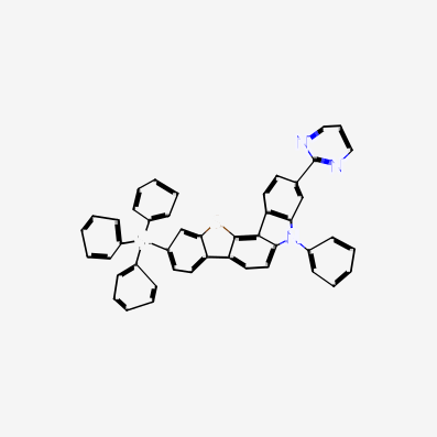 c1ccc(-n2c3cc(-c4ncccn4)ccc3c3c4sc5cc([Si](c6ccccc6)(c6ccccc6)c6ccccc6)ccc5c4ccc32)cc1